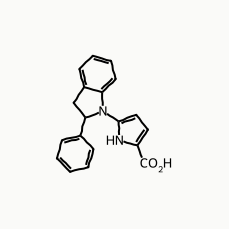 O=C(O)c1ccc(N2c3ccccc3CC2c2ccccc2)[nH]1